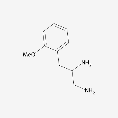 COc1ccccc1CC(N)CN